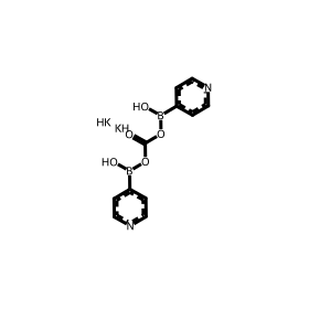 O=C(OB(O)c1ccncc1)OB(O)c1ccncc1.[KH].[KH]